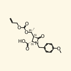 C=CCOC(=O)O[C@H](C)[C@H]1C(=O)N(Cc2ccc(OC)cc2)[C@@H]1C(=O)O